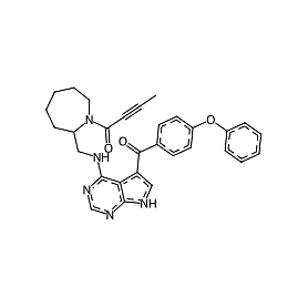 CC#CC(=O)N1CCCCCC1CNc1ncnc2[nH]cc(C(=O)c3ccc(Oc4ccccc4)cc3)c12